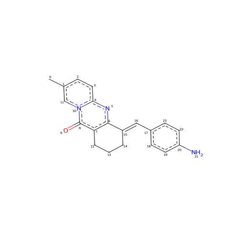 Cc1ccc2nc3c(c(=O)n2c1)CCCC3=Cc1ccc(N)cc1